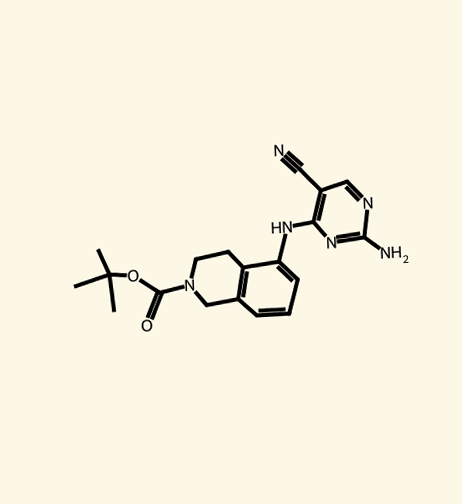 CC(C)(C)OC(=O)N1CCc2c(cccc2Nc2nc(N)ncc2C#N)C1